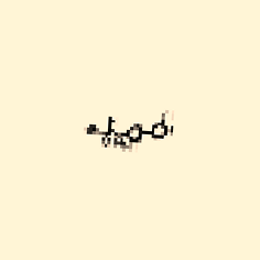 CCCCC(=O)Nc1n[nH]c2cc(-c3ccc(F)c(Cl)c3)ccc12